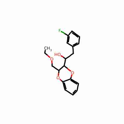 CCOCC1Oc2ccccc2OC1C(O)Cc1cccc(F)c1